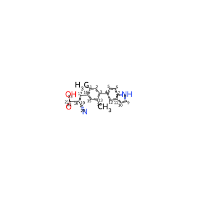 Cc1cc(-c2ccc3[nH]ccc3c2)c(C)cc1/C=C(\C#N)C(=O)O